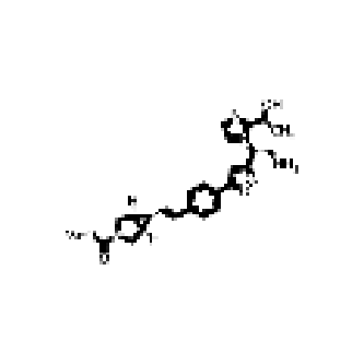 COC(=O)N1C[C@@H]2[C@@H](/C=C/c3ccc(-c4cc([C@@H](CN)n5ccnc5[C@H](C)O)no4)cc3)[C@@H]2C1